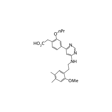 CCCOc1cc(-c2cc(NCCc3cc(C)c(C)cc3OC)ncn2)ccc1CC(=O)O